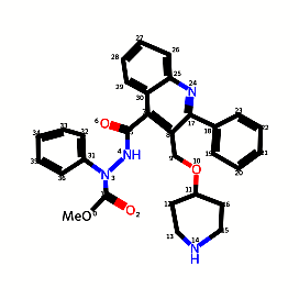 COC(=O)N(NC(=O)c1c(COC2CCNCC2)c(-c2ccccc2)nc2ccccc12)c1ccccc1